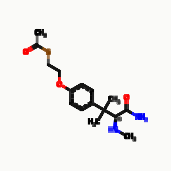 CN[C@H](C(N)=O)C(C)(C)c1ccc(OCCSC(C)=O)cc1